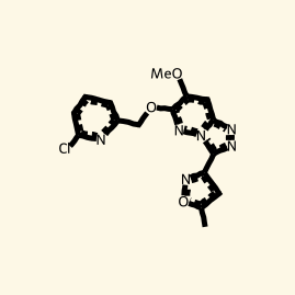 COc1cc2nnc(-c3cc(C)on3)n2nc1OCc1cccc(Cl)n1